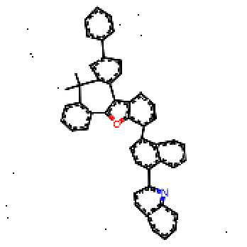 CC1(C)c2ccccc2-c2oc3c(-c4ccc(-c5ccc6ccccc6n5)c5ccccc45)cccc3c2-c2ccc(-c3ccccc3)cc21